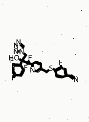 N#Cc1ccc(SCc2ccc(C(F)(F)C(O)(Cn3cnnn3)c3ccc(F)cc3F)nc2)c(F)c1